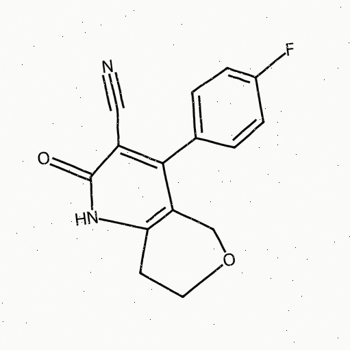 N#Cc1c(-c2ccc(F)cc2)c2c([nH]c1=O)CCOC2